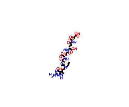 C#CCN(CCc1c[nH]c2nc(N)nc(O)c12)c1cnc(C(=O)N[C@@H](CCC(=O)N[C@@H](CCC(=O)N[C@@H](CCC(=O)O)C(=O)O)C(=O)O)C(=O)O)s1